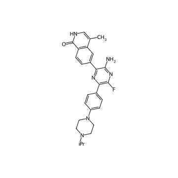 Cc1c[nH]c(=O)c2ccc(-c3nc(-c4ccc(N5CCN(C(C)C)CC5)cc4)c(F)nc3N)cc12